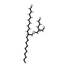 CCCCCCCCCCC(CCCCCCCCCC)COCC(CC)CCCC